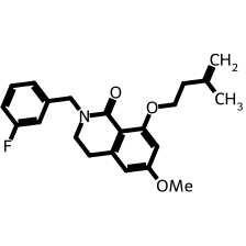 C=C(C)CCOc1cc(OC)cc2c1C(=O)N(Cc1cccc(F)c1)CC2